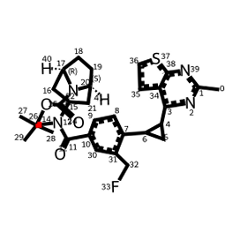 Cc1nc(C2CC2c2ccc(C(=O)N(C)C3C[C@H]4CC[C@@H](C3)N4C(=O)OC(C)(C)C)cc2CF)c2ccsc2n1